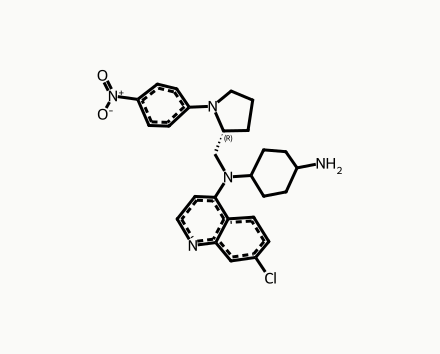 NC1CCC(N(C[C@H]2CCCN2c2ccc([N+](=O)[O-])cc2)c2ccnc3cc(Cl)ccc23)CC1